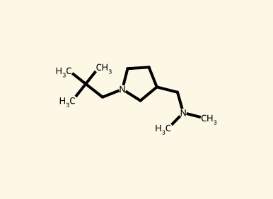 CN(C)CC1CCN(CC(C)(C)C)C1